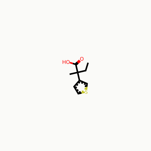 CCC(C)(C(=O)O)c1ccsc1